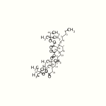 CCCCCCC1CCC(CCCCCCCC(=O)OOC(C)(C)CC)C(C(=O)OOC(C)(C)CC)C1C(=O)OOC(C)(C)CC